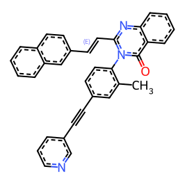 Cc1cc(C#Cc2cccnc2)ccc1-n1c(/C=C/c2ccc3ccccc3c2)nc2ccccc2c1=O